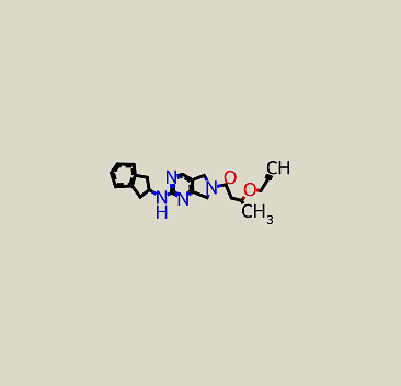 C#CCOC(C)CC(=O)N1Cc2cnc(NC3Cc4ccccc4C3)nc2C1